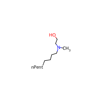 CCCCCCCCCN(C)CCO